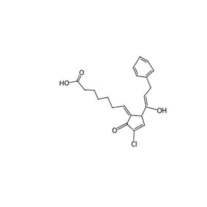 O=C(O)CCCCCC=C1C(=O)C(Cl)=CC1C(O)=CCc1ccccc1